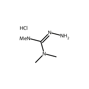 CN/C(=N/N)N(C)C.Cl